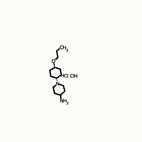 CCCO[C@H]1CC[C@H](N2CCC(N)CC2)CC1.Cl.Cl